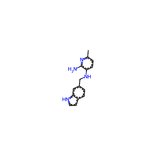 Cc1ccc(NCc2ccc3cc[nH]c3c2)c(N)n1